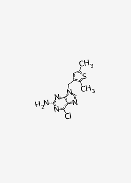 Cc1cc(Cn2cnc3c(Cl)nc(N)nc32)c(C)s1